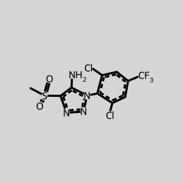 CS(=O)(=O)c1nnn(-c2c(Cl)cc(C(F)(F)F)cc2Cl)c1N